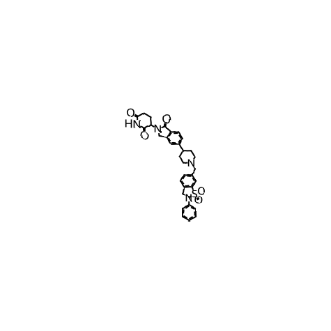 O=C1CCC(N2Cc3cc(C4CCN(Cc5ccc6c(c5)S(=O)(=O)N(c5ccccc5)C6)CC4)ccc3C2=O)C(=O)N1